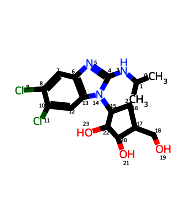 CC(C)Nc1nc2cc(Cl)c(Cl)cc2n1C1CC(CO)C(O)C1O